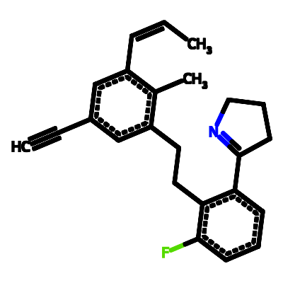 C#Cc1cc(/C=C\C)c(C)c(CCc2c(F)cccc2C2=NCCC2)c1